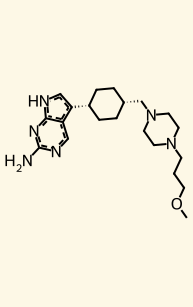 COCCCN1CCN(C[C@H]2CC[C@@H](c3c[nH]c4nc(N)ncc43)CC2)CC1